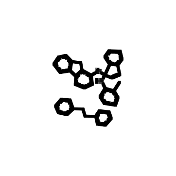 Cc1ccccc1P[C]1([Zr][c]2cccc3c2Cc2ccccc2-3)C=Cc2ccccc21.c1ccc(CCc2ccccc2)cc1